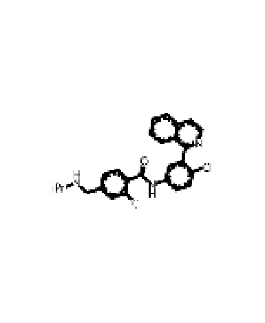 CC(C)NCc1ccc(C(=O)Nc2ccc(Cl)c(-c3nccc4ccccc34)c2)c(Cl)c1